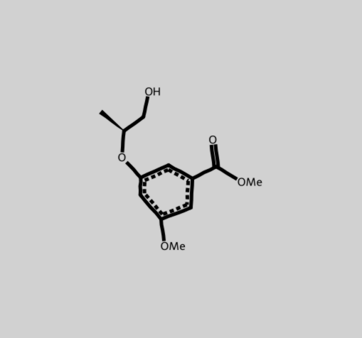 COC(=O)c1cc(OC)cc(O[C@@H](C)CO)c1